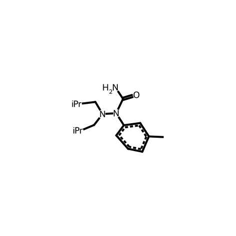 Cc1cccc(N(C(N)=O)N(CC(C)C)CC(C)C)c1